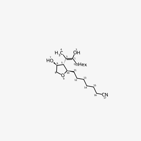 CCCCCC/C(O)=C(/C)[C@H]1[C@H](O)CO[C@@H]1CCCCCCC#N